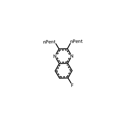 CCCCCc1nc2ccc(F)cc2nc1CCCCC